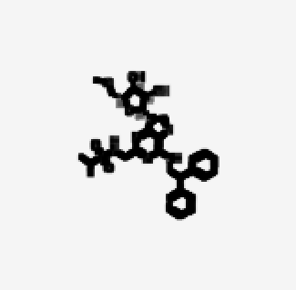 COC[C@H]1O[C@@H](n2cnc3c(NCC(c4ccccc4)c4ccccc4)nc(CNS(=O)(=O)C(C)C)nc32)[C@@H](O)[C@@H]1O